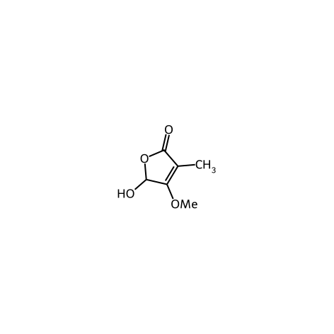 COC1=C(C)C(=O)OC1O